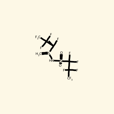 C=S(NS(=O)(=O)C(F)(F)C(F)(F)C(F)(F)F)C(F)(F)C(F)(F)C(F)(F)F